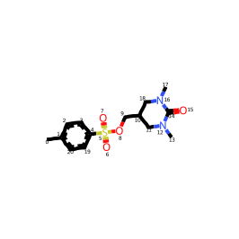 Cc1ccc(S(=O)(=O)OCC2CN(C)C(=O)N(C)C2)cc1